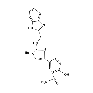 Br.NC(=O)c1cc(-c2csc(NCc3nc4ccccc4[nH]3)n2)ccc1O